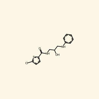 O=C(NCC(O)CNc1ccccc1)c1ccc(Cl)s1